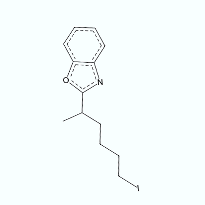 CC(CCCCI)c1nc2ccccc2o1